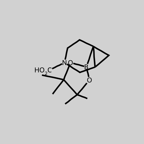 CC1(C)OB(C23CCN(C(=O)O)CC2C3)OC1(C)C